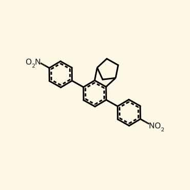 O=[N+]([O-])c1ccc(-c2ccc(-c3ccc([N+](=O)[O-])cc3)c3c2C2CCC3C2)cc1